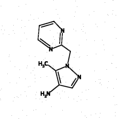 Cc1c(N)cnn1Cc1ncccn1